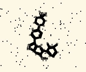 COc1cc2[nH]nc(-c3ccc(N4CCC(C)(C(=O)O)CC4)nc3)c2nc1-c1cccc(C)c1C